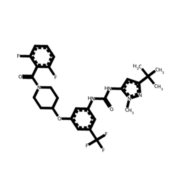 Cn1nc(C(C)(C)C)cc1NC(=O)Nc1cc(OC2CCN(C(=O)c3c(F)cccc3F)CC2)cc(C(F)(F)F)c1